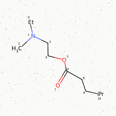 CCN(C)CCOC(=O)CCC(C)C